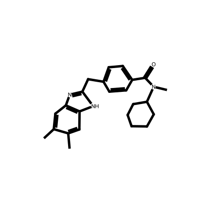 Cc1cc2nc(Cc3ccc(C(=O)N(C)C4CCCCC4)cc3)[nH]c2cc1C